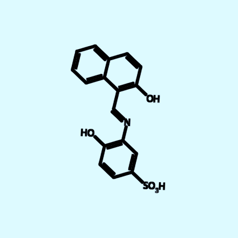 O=S(=O)(O)c1ccc(O)c(N=Cc2c(O)ccc3ccccc23)c1